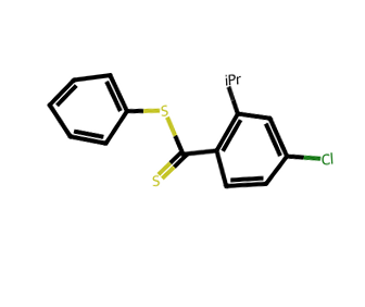 CC(C)c1cc(Cl)ccc1C(=S)Sc1ccccc1